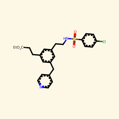 CCOC(=O)CCc1cc(CCNS(=O)(=O)c2ccc(Cl)cc2)cc(Cc2ccncc2)c1